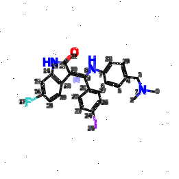 CN(C)Cc1ccc(N/C(=C2\C(=O)Nc3cc(F)ccc32)c2ccc(I)cc2)cc1